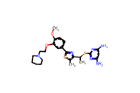 COc1ccc(-c2nc(C(C)Sc3nc(N)cc(N)n3)c(C)s2)cc1OCCN1CCCCC1